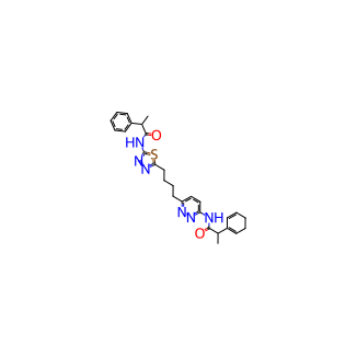 CC(C(=O)Nc1ccc(CCCCc2nnc(NC(=O)C(C)c3ccccc3)s2)nn1)C1=CCCC=C1